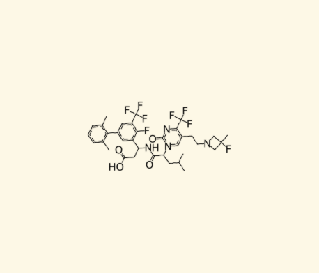 Cc1cccc(C)c1-c1cc(C(CC(=O)O)NC(=O)C(CC(C)C)n2cc(CCN3CC(C)(F)C3)c(C(F)(F)F)nc2=O)c(F)c(C(F)(F)F)c1